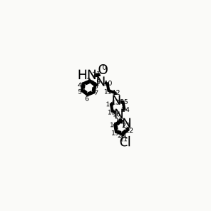 O=c1[nH]c2ccccc2n1CCCN1CCN(c2ccc(Cl)cn2)CC1